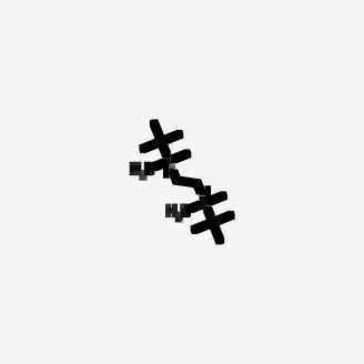 B[PH](C)(CC[PH](B)(C)C(C)(C)C)C(C)(C)C